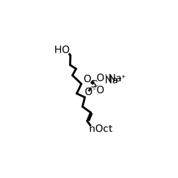 CCCCCCCCC=CCCCCCCCCO.O=S(=O)([O-])[O-].[Na+].[Na+]